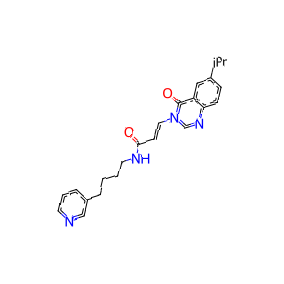 CC(C)c1ccc2ncn(/C=C/C(=O)NCCCCc3cccnc3)c(=O)c2c1